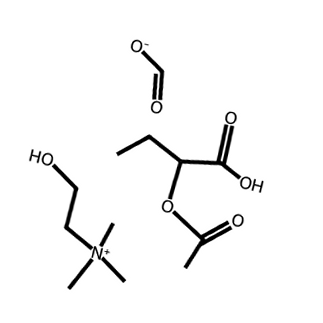 CCC(OC(C)=O)C(=O)O.C[N+](C)(C)CCO.O=C[O-]